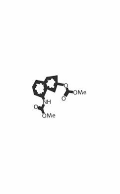 COC(=O)Nc1cccc2ccc(OC(=O)OC)cc12